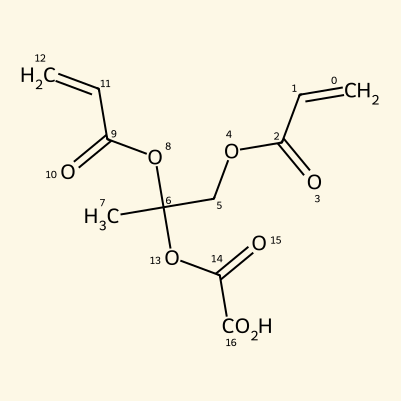 C=CC(=O)OCC(C)(OC(=O)C=C)OC(=O)C(=O)O